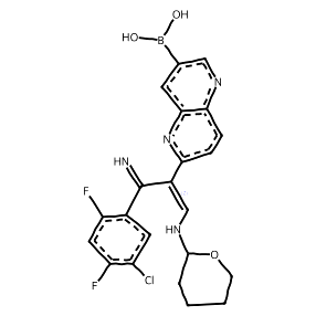 N=C(/C(=C\NC1CCCCO1)c1ccc2ncc(B(O)O)cc2n1)c1cc(Cl)c(F)cc1F